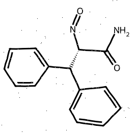 NC(=O)[C@@H](N=O)C(c1ccccc1)c1ccccc1